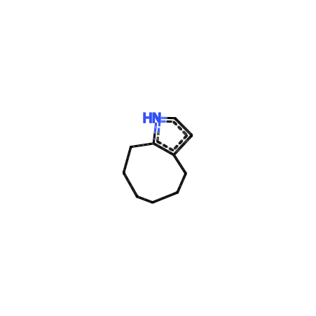 c1cc2c([nH]1)CCCCCC2